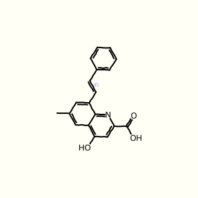 Cc1cc(/C=C/c2ccccc2)c2nc(C(=O)O)cc(O)c2c1